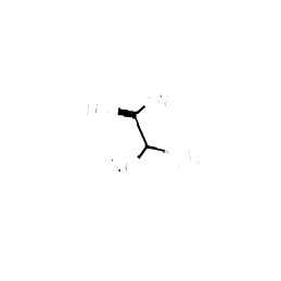 C=C(C#N)C(C)C#N